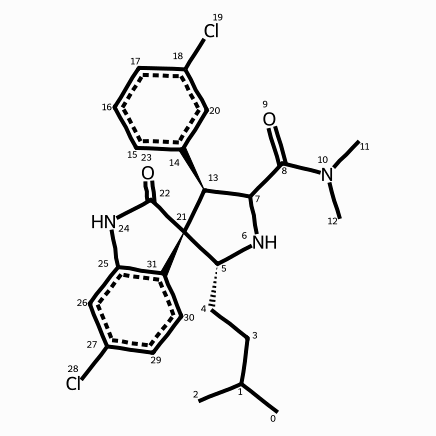 CC(C)CC[C@H]1NC(C(=O)N(C)C)[C@H](c2cccc(Cl)c2)[C@@]12C(=O)Nc1cc(Cl)ccc12